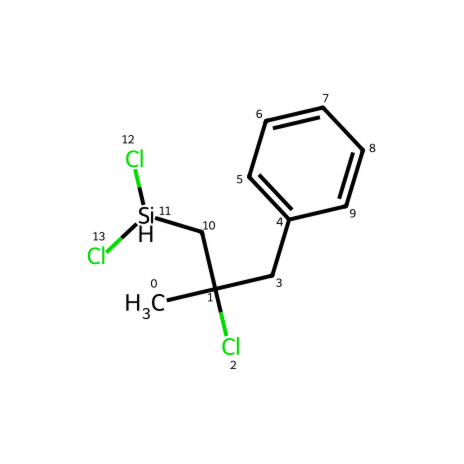 CC(Cl)(Cc1ccccc1)C[SiH](Cl)Cl